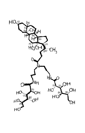 C[C@H](CCC(=O)N(CCCNC(=O)[C@@H](O)[C@@H](O)[C@H](O)[C@H](O)CO)CCCNC(=O)[C@@H](O)[C@@H](O)[C@H](O)[C@H](O)CO)[C@@H]1CC[C@H]2[C@@H]3CC[C@H]4C[C@@H](O)CC[C@]4(C)[C@H]3C[C@@H](O)[C@@]21C